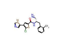 C[SH]1C=NC=C1c1cc(C(=O)N[C@H](CN)Cc2ccccc2C(F)(F)F)sc1Cl